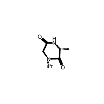 CC(C)N1CC(=O)N[C@@H](C)C1=O